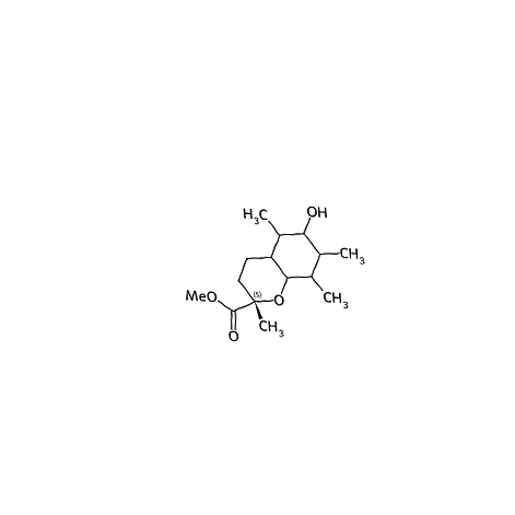 COC(=O)[C@]1(C)CCC2C(C)C(O)C(C)C(C)C2O1